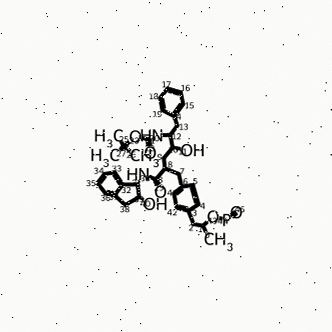 CC(Cc1ccc(CC(CC(O)C(Cc2ccccc2)NC(=O)OC(C)(C)C)C(=O)N[C@H]2c3ccccc3C[C@@H]2O)cc1)OP=O